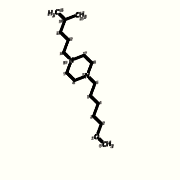 COCCCCCN1CCN(CCCC(C)C)CC1